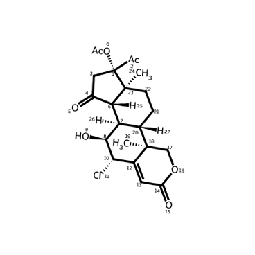 CC(=O)O[C@@]1(C(C)=O)CC(=O)[C@H]2[C@@H]3[C@H](O)[C@@H](Cl)C4=CC(=O)OC[C@]4(C)[C@H]3CC[C@@]21C